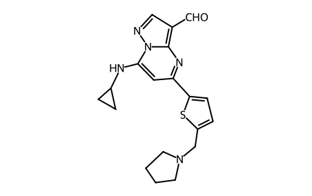 O=Cc1cnn2c(NC3CC3)cc(-c3ccc(CN4CCCC4)s3)nc12